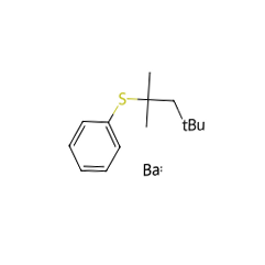 CC(C)(C)CC(C)(C)Sc1ccccc1.[Ba]